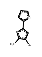 CC(=O)c1cc(-c2ccco2)oc1C